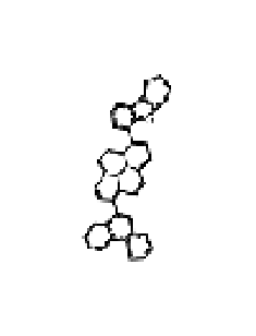 C1=CC2=C(c3cc4ccccc4c4ccccc34)C=CC3=CC=C4C(c5cccc6c5sc5ccccc56)=CC=C1C4C32